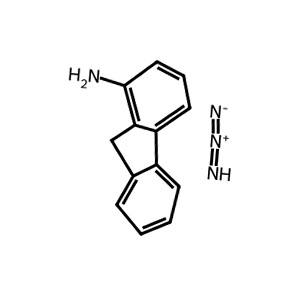 Nc1cccc2c1Cc1ccccc1-2.[N-]=[N+]=N